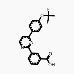 CC(F)(F)Oc1ccc(-c2ccnc(-c3cccc(C(=O)O)c3)n2)cc1